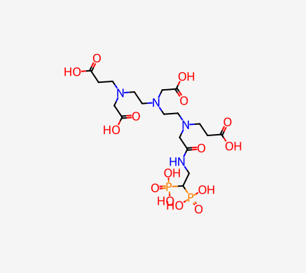 O=C(O)CCN(CCN(CCN(CCC(=O)O)CC(=O)NCC(P(=O)(O)O)P(=O)(O)O)CC(=O)O)CC(=O)O